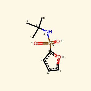 CC(C)(C)NS(=O)(=O)c1ccco1